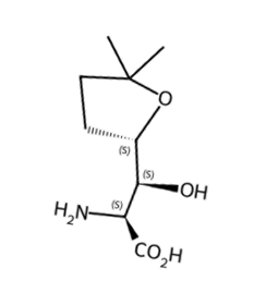 CC1(C)CC[C@@H]([C@@H](O)[C@H](N)C(=O)O)O1